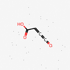 O=C=C=CC(=O)O